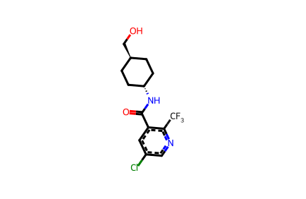 O=C(N[C@H]1CC[C@H](CO)CC1)c1cc(Cl)cnc1C(F)(F)F